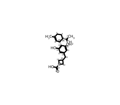 C=C(C)[C@@H]1CCC(C)=C[C@H]1c1c(O)cc(CC2CN(C(=O)O)C2)cc1O